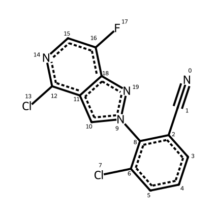 N#Cc1cccc(Cl)c1-n1cc2c(Cl)ncc(F)c2n1